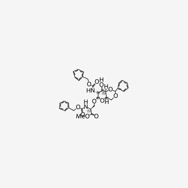 COC(=O)[C@H](CO[C@@H]1O[C@@H]2COC(c3ccccc3)O[C@H]2[C@H](O)[C@H]1NC(=O)OCc1ccccc1)NC(=O)OCc1ccccc1